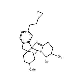 COC1CCC2(CC1)Cc1ccc(CCC3CC3)cc1C21N=C2CCC(C)C(C(C)C)N2C1=O